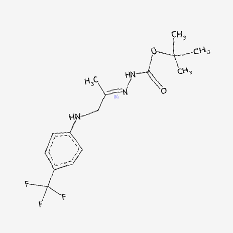 C/C(CNc1ccc(C(F)(F)F)cc1)=N\NC(=O)OC(C)(C)C